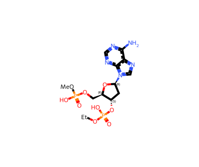 CCOP(=O)(O)O[C@H]1C[C@H](n2cnc3c(N)ncnc32)O[C@@H]1COP(=O)(O)OC